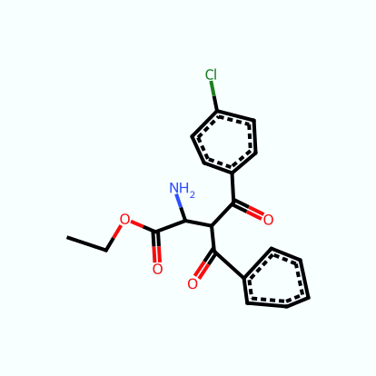 CCOC(=O)C(N)C(C(=O)c1ccccc1)C(=O)c1ccc(Cl)cc1